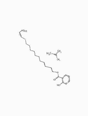 CCCCCCCC/C=C\CCCCCCCCCCCCOC(=O)c1ccccc1O.CN(C)C